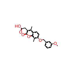 COc1cccc(COc2ccc3c(C)c(CC(=O)O)c(=O)oc3c2C)c1